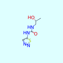 CC(O)CNC(=O)Nc1cnns1